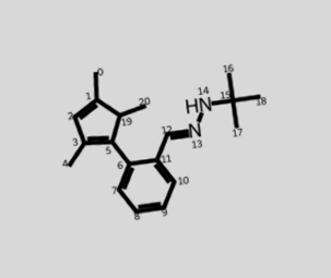 CC1=CC(C)=C(c2ccccc2C=NNC(C)(C)C)C1C